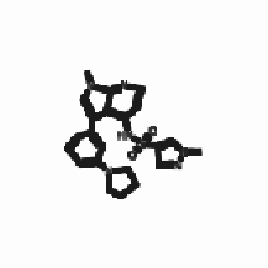 Cn1cc(S(=O)(=O)Nc2ccnc3c2c(-c2cccc(N4CCCC4)c2)cn3C)cn1